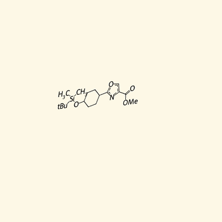 COC(=O)c1coc(C2CCC(O[Si](C)(C)C(C)(C)C)CC2)n1